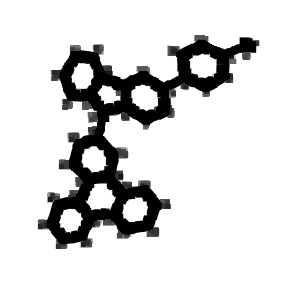 Brc1ccc(-c2ccc3c(c2)c2ccccc2n3-c2ccc3c4ccccc4c4ccccc4c3c2)cc1